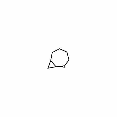 C1CCC2CC2SC1